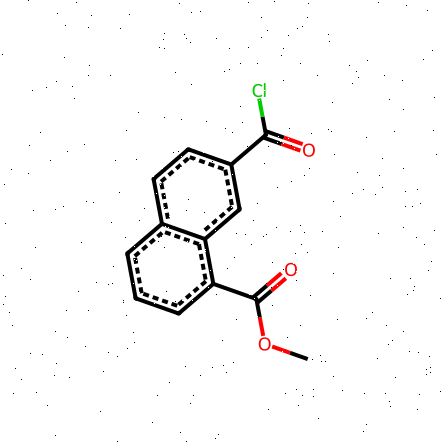 COC(=O)c1cccc2ccc(C(=O)Cl)cc12